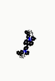 CCC1(CC)c2ccccc2-c2ccc(N(c3ccc(C)cc3)c3ccc(-c4c5ccccc5c(N(c5ccc(C)cc5)c5ccc6c(c5)C(CC)(CC)c5ccccc5-6)c5ccccc45)cc3)cc21